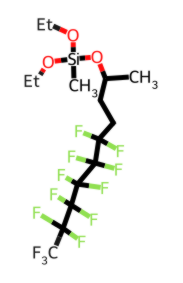 CCO[Si](C)(OCC)OC(C)CCC(F)(F)C(F)(F)C(F)(F)C(F)(F)C(F)(F)C(F)(F)F